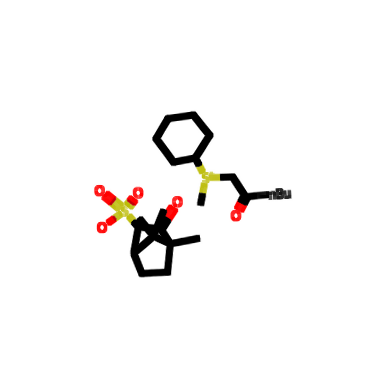 CC12CCC(C(S(=O)(=O)[O-])C1=O)C2(C)C.CCCCC(=O)C[S+](C)C1CCCCC1